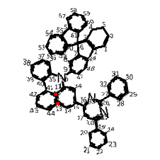 C1=CC2=C(CC1)C1(c3cc(N(c4cccc(-c5cc(-c6ccccc6)nc(-c6ccccc6)n5)c4)c4ccccc4-c4ccccc4)ccc32)c2ccccc2-c2ccccc21